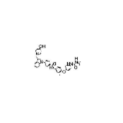 Cc1cc(NC(=O)c2ccc(-n3cc(CN4CCC(O)CC4)c4ccccc43)cc2)ccc1Oc1ccc(NC(=O)NN(C)C)cc1